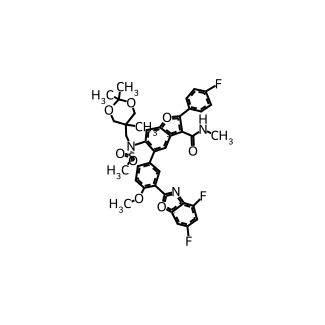 CNC(=O)c1c(-c2ccc(F)cc2)oc2cc(N(CC3(C)COC(C)(C)OC3)S(C)(=O)=O)c(-c3ccc(OC)c(-c4nc5c(F)cc(F)cc5o4)c3)cc12